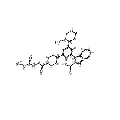 C[C@H]1COCCN1c1cc(N2CCN(C(=O)CNC(=O)OC(C)(C)C)CC2)nc(-n2c(C(F)F)nc3ccccc32)n1